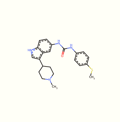 CSc1ccc(NC(=O)Nc2ccc3[nH]cc(C4CCN(C)CC4)c3c2)cc1